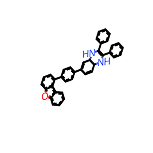 C1=CC2NC(c3ccccc3)=C(c3ccccc3)NC2C=C1c1ccc(-c2cccc3oc4ccccc4c23)cc1